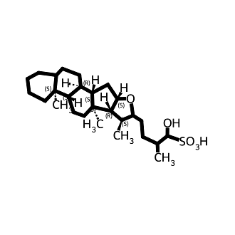 CC(CCC1O[C@H]2C[C@H]3[C@@H]4CCC5CCCC[C@]5(C)[C@H]4CC[C@]3(C)[C@H]2[C@@H]1C)C(O)S(=O)(=O)O